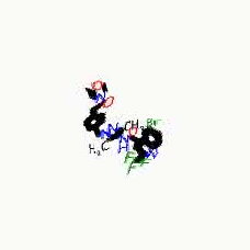 Cc1nn(Cc2ccc(CC(=O)N3CCOCC3)cc2)c(C)c1NC(=O)c1cc(C(F)(F)F)nc2ccc(Br)cc12